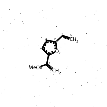 C=Cc1ccc(C(=C)OC)o1